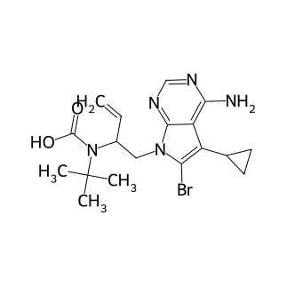 C=CC(Cn1c(Br)c(C2CC2)c2c(N)ncnc21)N(C(=O)O)C(C)(C)C